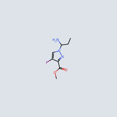 CCC(N)n1cc(I)c(C(=O)OC)n1